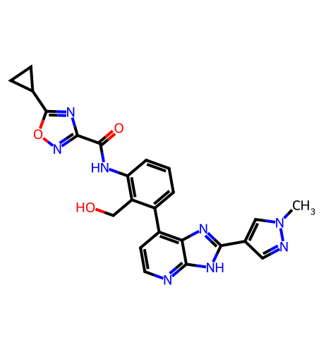 Cn1cc(-c2nc3c(-c4cccc(NC(=O)c5noc(C6CC6)n5)c4CO)ccnc3[nH]2)cn1